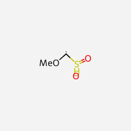 CO[CH][SH](=O)=O